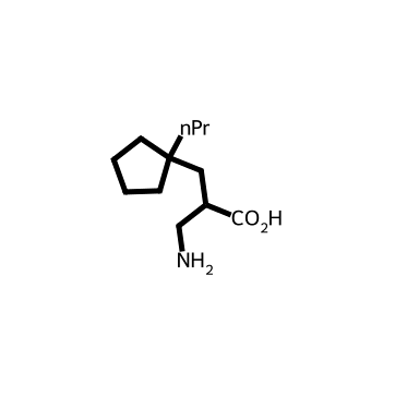 CCCC1(CC(CN)C(=O)O)CCCC1